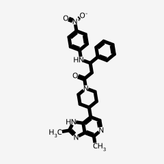 Cc1nc2c(C)ncc(C3CCN(C(=O)CC(Nc4ccc([N+](=O)[O-])cc4)c4ccccc4)CC3)c2[nH]1